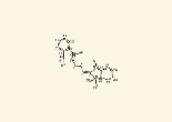 CN1C(=CCC=C2N(C)c3ccccc3C2(C)C)C(C)(C)c2ccccc21